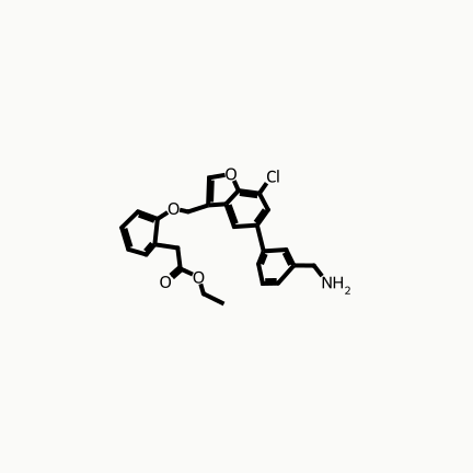 CCOC(=O)Cc1ccccc1OCc1coc2c(Cl)cc(-c3cccc(CN)c3)cc12